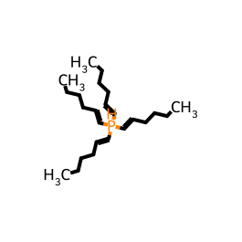 CCCC/C=C/[PH](/C=C/CCCC)(/C=C/CCCC)/C=C/CCCC